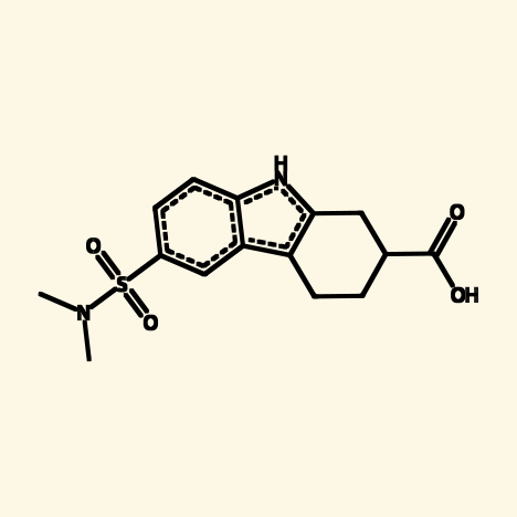 CN(C)S(=O)(=O)c1ccc2[nH]c3c(c2c1)CCC(C(=O)O)C3